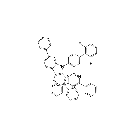 Fc1cccc(F)c1-c1ccc(-n2c3cc(-c4ccccc4)ccc3c3ccc(-c4ccccc4)cc32)c(-c2nc(-c3ccccc3)nc(-c3ccccc3)n2)c1